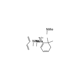 C=CC=C.CC1(C)CC=CC=[C]1[Ti+3].C[N-]C.C[N-]C.C[N-]C